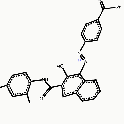 Cc1ccc(NC(=O)c2cc3ccccc3c(/N=N/c3ccc(C(=O)C(C)C)cc3)c2O)c(C)c1